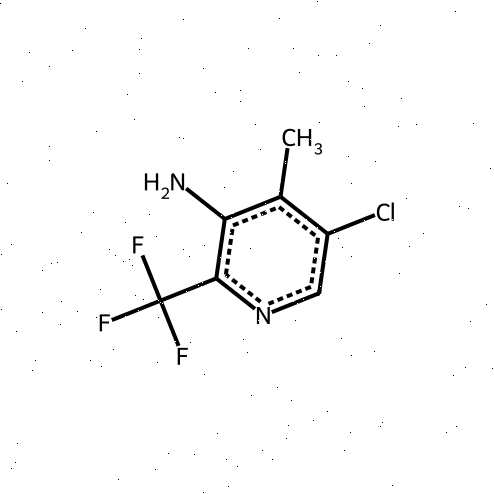 Cc1c(Cl)cnc(C(F)(F)F)c1N